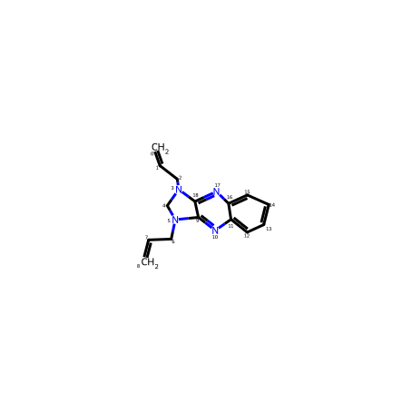 C=CCN1CN(CC=C)c2nc3ccccc3nc21